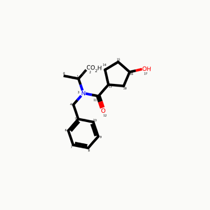 CC(C(=O)O)N(Cc1ccccc1)C(=O)C1CCC(O)C1